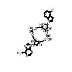 Nc1ncnc2c1ncn2[C@@H]1C[C@@H]2COP(O)(=S)O[C@H]3[C@H](F)[C@H](n4ccc5c(Cl)cccc54)O[C@@H]3COP(O)(=S)OC[C@H]21